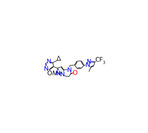 COc1ncnc(C2CC2)c1-c1cc2n(n1)CCC(=O)N2Cc1ccc(-n2nc(C(F)(F)F)cc2C)cc1